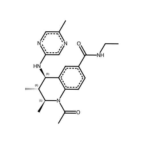 CCNC(=O)c1ccc2c(c1)[C@H](Nc1cnc(C)cn1)[C@@H](C)[C@H](C)N2C(C)=O